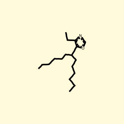 CCCCCCC(CCCCCC)c1ocnc1CC